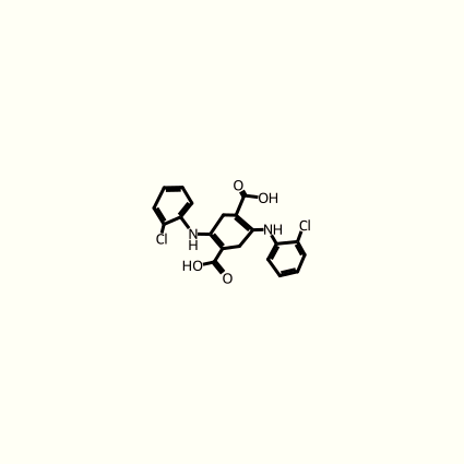 O=C(O)C1=C(Nc2ccccc2Cl)CC(C(=O)O)=C(Nc2ccccc2Cl)C1